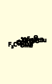 COc1cc(C(F)(F)F)ccc1-c1nnc(S[C@@H]2C[C@H](F)CN(C(=O)OC(C)(C)C)C2)cc1C